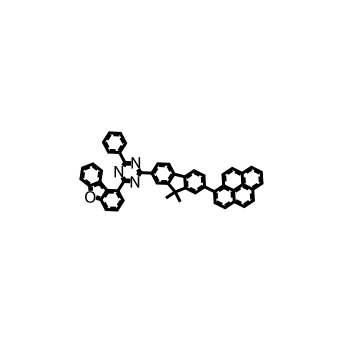 CC1(C)c2cc(-c3nc(-c4ccccc4)nc(-c4cccc5oc6ccccc6c45)n3)ccc2-c2ccc(-c3ccc4ccc5cccc6ccc3c4c56)cc21